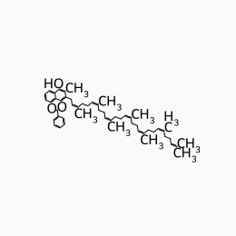 CC(C)=CCCC(C)=CCCC(C)=CCCC(C)=CCCC(C)=CCCC(C)=CCCC(C)=CCc1c(C)c(O)c2ccccc2c1OC(=O)c1ccccc1